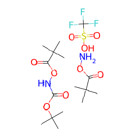 CC(C)(C)C(=O)ON.CC(C)(C)OC(=O)NOC(=O)C(C)(C)C.O=S(=O)(O)C(F)(F)F